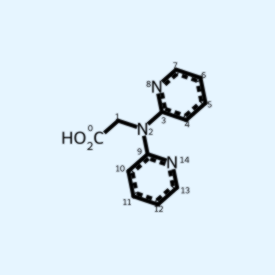 O=C(O)CN(c1ccccn1)c1ccccn1